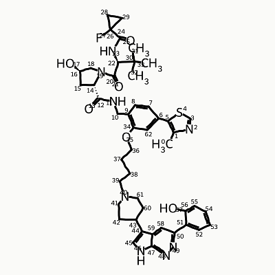 Cc1ncsc1-c1ccc(CNC(=O)[C@@H]2C[C@@H](O)CN2C(=O)[C@@H](NC(=O)C2(F)CC2)C(C)(C)C)c(OCCCCN2CCC(c3c[nH]c4nnc(-c5ccccc5O)cc34)CC2)c1